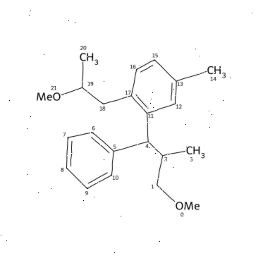 COCC(C)C(c1ccccc1)c1cc(C)ccc1CC(C)OC